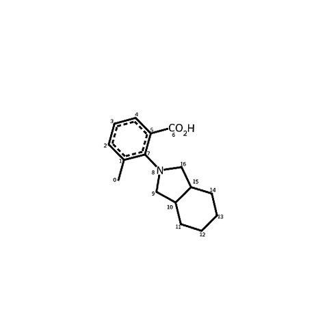 Cc1cccc(C(=O)O)c1N1CC2CCCCC2C1